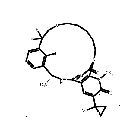 C[C@H]1Nc2nc(=O)n(c3c2cc(C2(C#N)CC2)c(=O)n3C)CCCCCOCC(F)(F)c2cccc1c2F